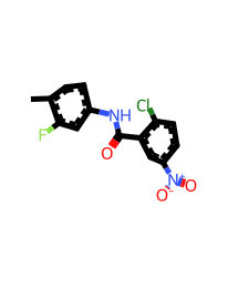 Cc1ccc(NC(=O)c2cc([N+](=O)[O-])ccc2Cl)cc1F